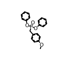 COc1ccc(CP(=O)(Oc2ccccc2)Oc2ccccc2)cc1